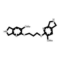 COc1cc2c(nc1OCCCOc1nc3c(cc1OC)CNC3)CNC2